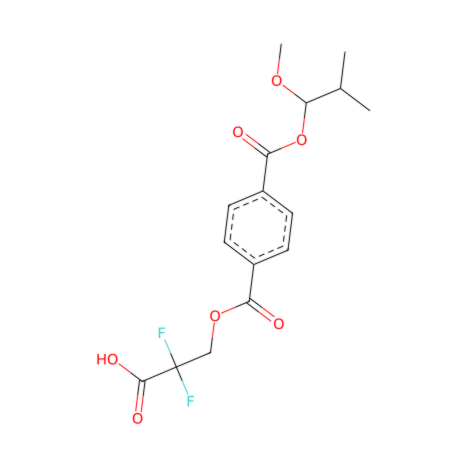 COC(OC(=O)c1ccc(C(=O)OCC(F)(F)C(=O)O)cc1)C(C)C